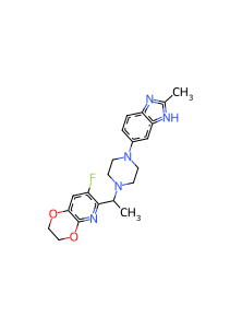 Cc1nc2ccc(N3CCN(C(C)c4nc5c(cc4F)OCCO5)CC3)cc2[nH]1